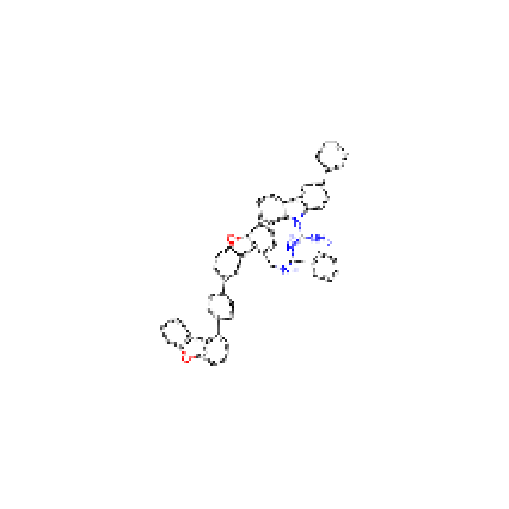 N/C(=N\C(=N/Cc1cccc2oc3ccc(-c4ccc(-c5cccc6oc7ccccc7c56)cc4)cc3c12)c1ccccc1)n1c2ccccc2c2cc(-c3ccccc3)ccc21